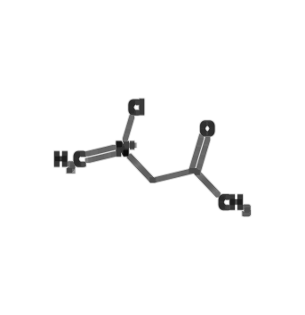 C=[N+](Cl)CC(C)=O